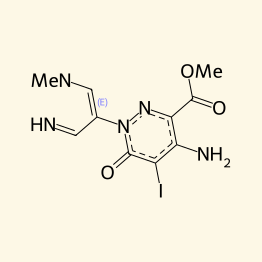 CN/C=C(\C=N)n1nc(C(=O)OC)c(N)c(I)c1=O